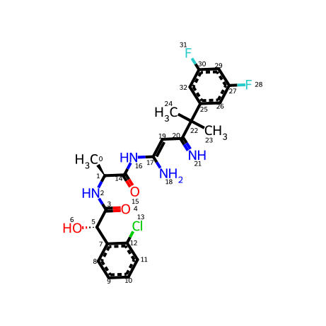 C[C@H](NC(=O)[C@@H](O)c1ccccc1Cl)C(=O)N/C(N)=C/C(=N)C(C)(C)c1cc(F)cc(F)c1